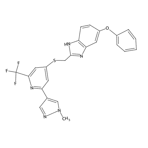 Cn1cc(-c2cc(SCc3nc4cc(Oc5ccccc5)ccc4[nH]3)cc(C(F)(F)F)n2)cn1